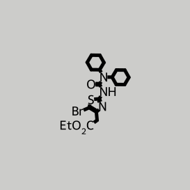 CCOC(=O)Cc1nc(NC(=O)N(C2CCCCC2)C2CCCCC2)sc1Br